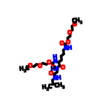 COCCOCCOC(=O)NCCCCC(NC(=O)OCCOCCOC)C(=O)NCC(=O)NCC(C)C